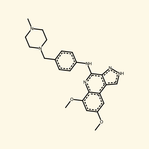 COc1cc(OC)c2nc(Nc3ccc(CN4CCN(C)CC4)cc3)c3n[nH]cc3c2c1